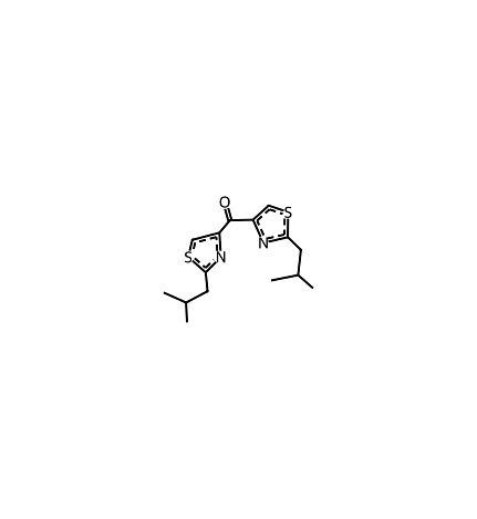 CC(C)Cc1nc(C(=O)c2csc(CC(C)C)n2)cs1